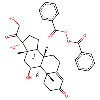 C[C@]12CCC(=O)C=C1CC[C@@H]1[C@@H]2[C@@H](O)C[C@@]2(C)[C@H]1CC[C@]2(O)C(=O)CO.O=C(OOC(=O)c1ccccc1)c1ccccc1